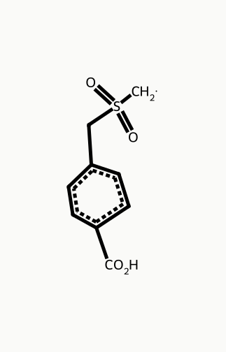 [CH2]S(=O)(=O)Cc1ccc(C(=O)O)cc1